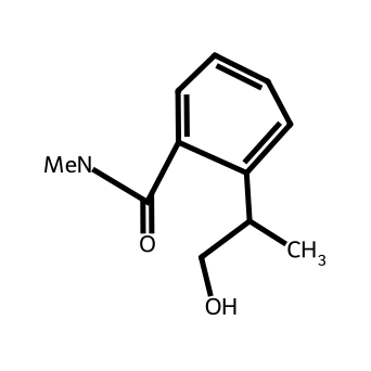 CNC(=O)c1ccccc1C(C)CO